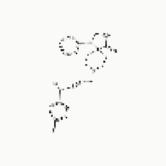 O=C1NCN(c2ccccc2)C12CCN(CC#CC(O)c1ccc(F)cc1)CC2